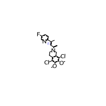 C=C(/C=C(\C)c1ccc(F)cn1)N1CCc2c(Cl)c(OC)c(OC)c(Cl)c2C1